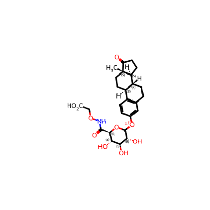 C[C@]12CC[C@@H]3c4ccc([17O]C5O[C@H](C(=O)NOCC(=O)O)[C@@H](O)[C@H](O)[C@H]5O)cc4CC[C@H]3[C@@H]1CCC2=O